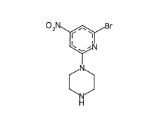 O=[N+]([O-])c1cc(Br)nc(N2CCNCC2)c1